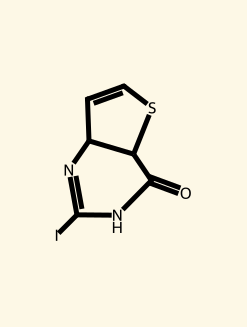 O=C1NC(I)=NC2C=CSC12